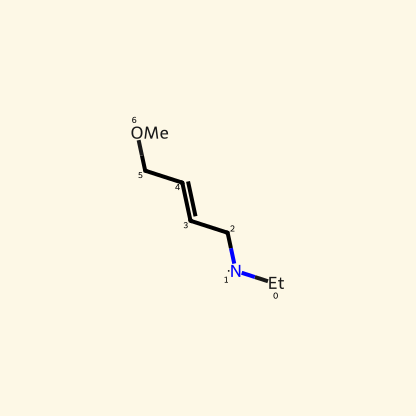 CC[N]C/C=C/COC